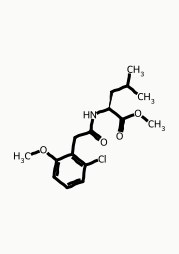 COC(=O)[C@H](CC(C)C)NC(=O)Cc1c(Cl)cccc1OC